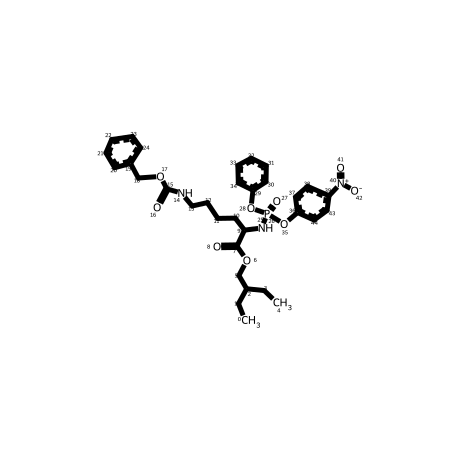 CCC(CC)COC(=O)C(CCCCNC(=O)OCc1ccccc1)NP(=O)(Oc1ccccc1)Oc1ccc([N+](=O)[O-])cc1